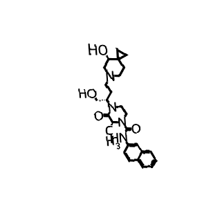 C[C@H]1C(=O)N([C@H](CO)CCN2CCC3(CC3)[C@H](O)C2)CCN1C(=O)Nc1ccc2ccccc2c1